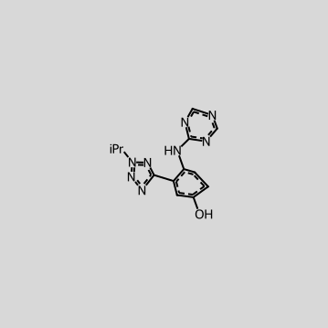 CC(C)n1nnc(-c2cc(O)ccc2Nc2ncncn2)n1